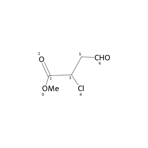 COC(=O)C(Cl)CC=O